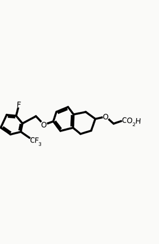 O=C(O)COC1CCc2cc(OCc3c(F)cccc3C(F)(F)F)ccc2C1